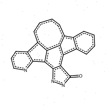 O=c1nnc2c1c1c3ccccc3c3ccccc4c5cccnc5c2c4c31